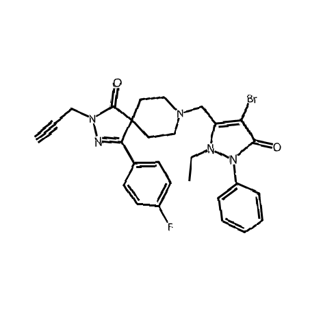 C#CCN1N=C(c2ccc(F)cc2)C2(CCN(Cc3c(Br)c(=O)n(-c4ccccc4)n3CC)CC2)C1=O